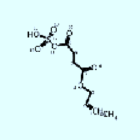 C.C=CCOC(=O)CCC(=O)OS(=O)(=O)O